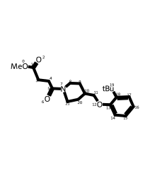 COC(=O)CCC(=O)N1CCC(COc2ccccc2C(C)(C)C)CC1